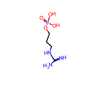 N=C(N)NCCCOP(=O)(O)O